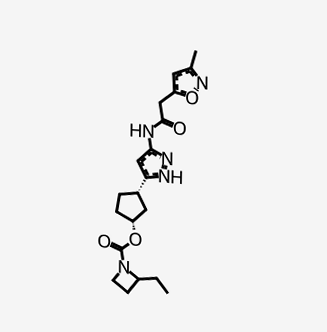 CCC1CCN1C(=O)O[C@@H]1CC[C@H](c2cc(NC(=O)Cc3cc(C)no3)n[nH]2)C1